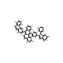 c1ccc(-n2c(-c3ccc(-c4c5ccccc5c(-c5ccc6ccc7ccccc7c6c5)c5ccc6ccccc6c45)cc3)nc3ccccc32)cc1